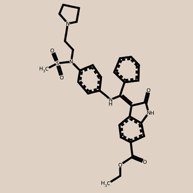 CCOC(=O)c1ccc2c(c1)NC(=O)C2=C(Nc1ccc(N(CCN2CCCC2)S(C)(=O)=O)cc1)c1ccccc1